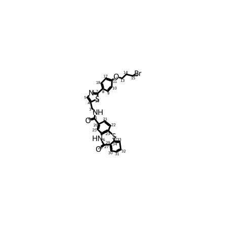 O=C(NCc1cnc(-c2ccc(OCCCBr)cc2)s1)c1ccc2c(c1)NC(=O)c1ccccc1S2